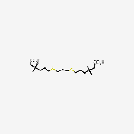 CC(C)(CCCSCCCSCCCC(C)(C)CC(=O)O)CC(=O)O